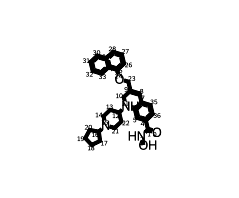 O=C(NO)c1ccc(C=C(CNC2CCN(C3CCCC3)CC2)COc2cccc3ccccc23)cc1